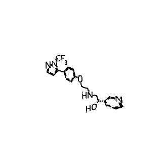 O[C@@H](CNCCOc1ccc(-c2ccnn2C(F)(F)F)cc1)c1cccnc1